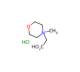 C[N+]1(CC(=O)O)CCOCC1.Cl